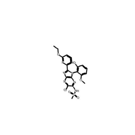 CCOC1=NC(c2nc3nc(Cl)c(NS(C)(=O)=O)nc3n2-c2c(O)cccc2OC)=C=C=C1